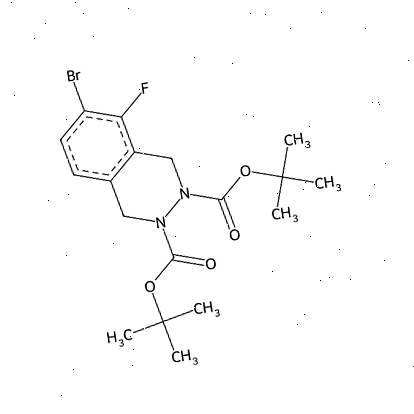 CC(C)(C)OC(=O)N1Cc2ccc(Br)c(F)c2CN1C(=O)OC(C)(C)C